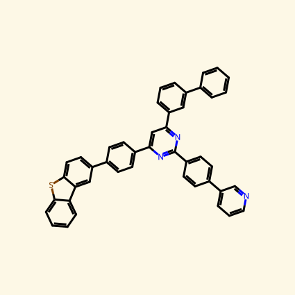 c1ccc(-c2cccc(-c3cc(-c4ccc(-c5ccc6sc7ccccc7c6c5)cc4)nc(-c4ccc(-c5cccnc5)cc4)n3)c2)cc1